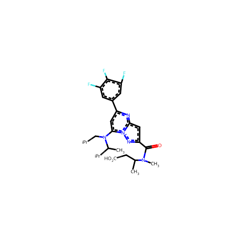 CC(C)CN(c1cc(-c2cc(F)c(F)c(F)c2)nc2cc(C(=O)N(C)C(C)CC(=O)O)nn12)C(C)C(C)C